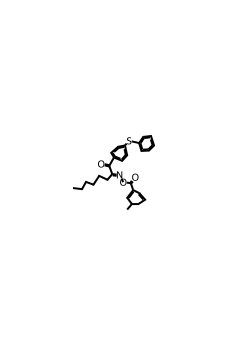 CCCCCC/C(=N\OC(=O)C1=CC(C)CC=C1)C(=O)c1ccc(Sc2ccccc2)cc1